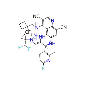 Cc1nc(F)ccc1[C@H](Nc1cc(C#N)c2ncc(C#N)c(NCC3(C(F)(F)F)CCC3)c2c1)C1=CN(C2(C(F)F)CC2)NN1